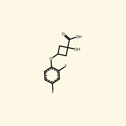 O=C(O)C1(O)CC(Oc2ccc(F)cc2F)C1